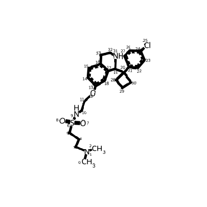 CN(C)CCCS(=O)(=O)NCCOc1ccc2c(c1)C(C1(c3ccc(Cl)cc3)CCC1)NCC2